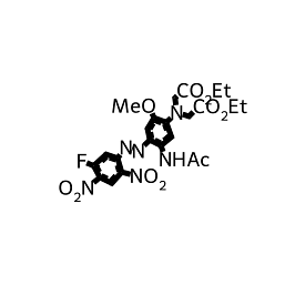 CCOC(=O)CN(CC(=O)OCC)c1cc(NC(C)=O)c(/N=N/c2cc(F)c([N+](=O)[O-])cc2[N+](=O)[O-])cc1OC